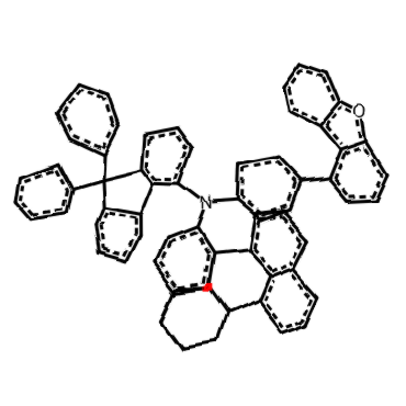 c1ccc(C2(c3ccccc3)c3ccccc3-c3c(N(c4ccc(-c5cccc6oc7ccccc7c56)cc4)c4ccccc4-c4cccc5cccc(C6CCCCC6)c45)cccc32)cc1